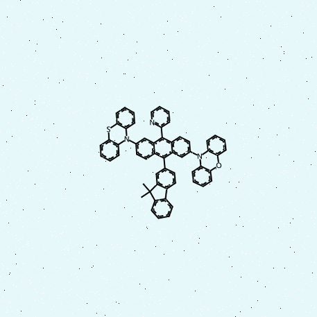 CC1(C)c2ccccc2-c2ccc(-c3c4cc(N5c6ccccc6Oc6ccccc65)ccc4c(-c4ccccn4)c4cc(N5c6ccccc6Sc6ccccc65)ccc34)cc21